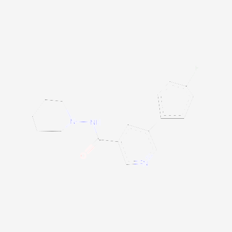 O=C(NN1CCCCC1)c1cncc(-c2ccc(F)cc2)c1